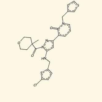 CC1(C(=O)n2nc(-c3cccn(Cc4ccsc4)c3=O)cc2NCc2ccc(Cl)s2)CCOCC1